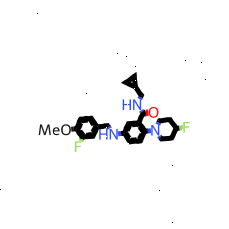 COc1ccc(CNc2ccc(N3CCC(F)CC3)c(C(=O)NCC3CC3)c2)cc1F